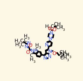 Cc1cc(-c2ncnc3c2cc(-c2ccc(N4CCN(C(=O)OC(C)(C)C)CC4)cn2)n3COCC[Si](C)(C)C)ccc1[C@@H](C)NC(=O)c1nc(C(C)(C)C)no1